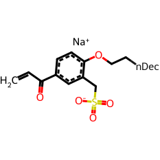 C=CC(=O)c1ccc(OCCCCCCCCCCCC)c(CS(=O)(=O)[O-])c1.[Na+]